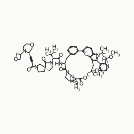 CCn1c(-c2cccnc2[C@H](C)OC)c2c3cc(ccc31)-c1cccc(c1)CC(NC(=O)[C@H](C(C)C)N1CC[C@@]3(CCN(C(=O)C#C[C@@H]4COCCN4C4COC4)C3)C1=O)C(=O)N1CCC[C@@]([SiH3])(N1)C(=O)OCC(C)(C)C2